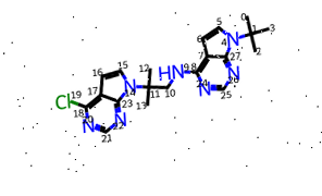 CC(C)(C)n1ccc2c(NCC(C)(C)n3ccc4c(Cl)ncnc43)ncnc21